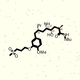 CCCCNC(=O)[C@H](C)C[C@H](O)[C@@H](N)C[C@H](Cc1ccc(OC)c(OCCCS(C)(=O)=O)c1)C(C)C